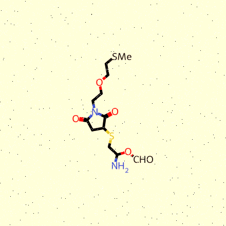 CSCCOCCN1C(=O)CC(SCC(N)OC=O)C1=O